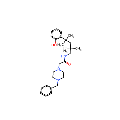 CC(C)(CNC(=O)CN1CCN(Cc2ccccc2)CC1)CC(C)(C)c1ccccc1O